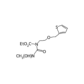 CCOC(=O)N(CCOCc1cccs1)C(=O)N(C)O